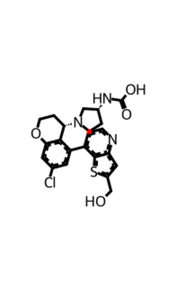 O=C(O)N[C@@H]1CCN([C@H]2CCOc3cc(Cl)cc(-c4ccnc5cc(CO)sc45)c32)C1